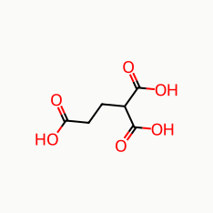 O=C(O)CCC(C(=O)O)C(=O)O